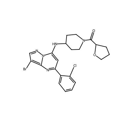 O=C(C1CCCO1)N1CCC(Nc2cc(-c3ccccc3Cl)nc3c(Br)cnn23)CC1